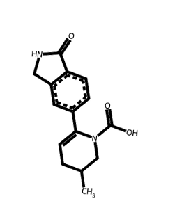 CC1CC=C(c2ccc3c(c2)CNC3=O)N(C(=O)O)C1